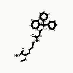 CC[C@@H](CCCCNC(=O)CCSC(c1ccccc1)(c1ccccc1)c1ccccc1)C(=O)O